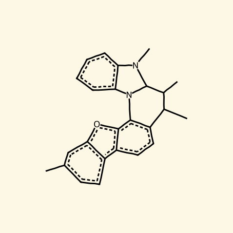 Cc1ccc2c(c1)oc1c3c(ccc12)C(C)C(C)C1N(C)c2ccccc2N31